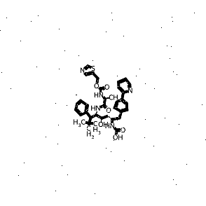 C[C@H](NC(=O)OCc1cncs1)C(=O)N[C@@H](C(c1ccccc1)C(C)(C)C)[C@@H](O)C[C@H](Cc1ccc(-c2ccccn2)cc1)NC(=O)O